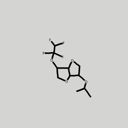 CC(C)OC1COC2C(OC(F)(F)C(F)F)COC12